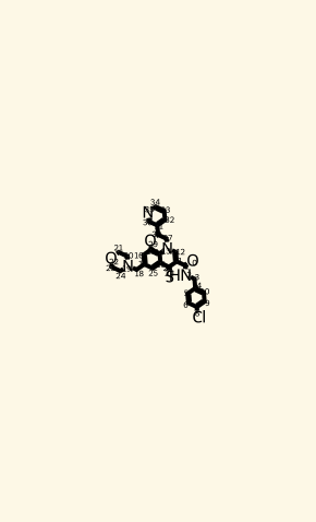 O=C(NCc1ccc(Cl)cc1)c1cn2c3c(cc(CN4CCOCC4)cc3c1=S)OC(c1cccnc1)C2